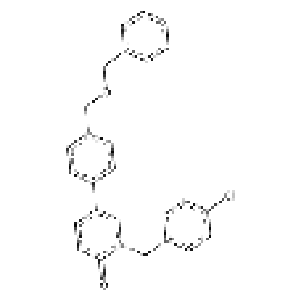 O=c1ccc(-c2ccc(COCc3ccccc3)cc2)cn1Cc1ccc(Cl)cc1